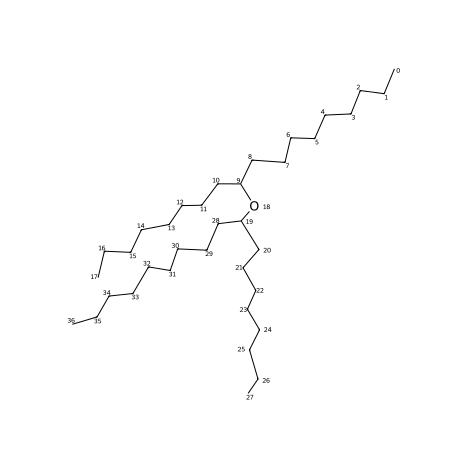 CCCCCCCCCC(CCCCCCCC)OC(CCCCCCCC)CCCCCCCCC